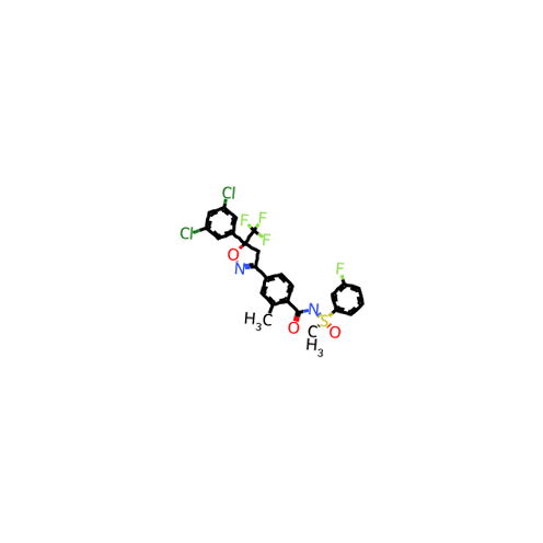 Cc1cc(C2=NOC(c3cc(Cl)cc(Cl)c3)(C(F)(F)F)C2)ccc1C(=O)N=S(C)(=O)c1cccc(F)c1